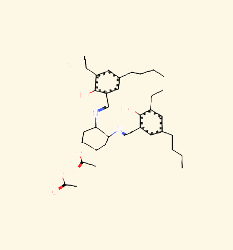 CC(=O)[O-].CC(=O)[O-].CCCCc1cc(C=NC2CCCCC2N=Cc2cc(CCCC)cc(CC)c2O)c(O)c(CC)c1.[Co+2]